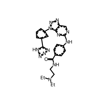 CCN(CC)CCNC(=O)c1ccc(Nc2ncc3nnn(-c4cccc(-c5nnn[nH]5)c4)c3n2)cc1